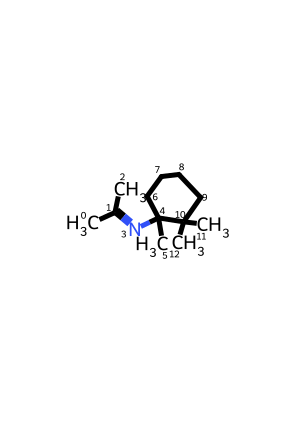 CC(C)=NC1(C)CCCCC1(C)C